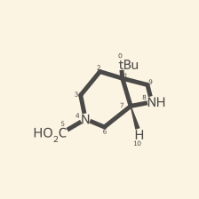 CC(C)(C)C12CCN(C(=O)O)C[C@H]1NC2